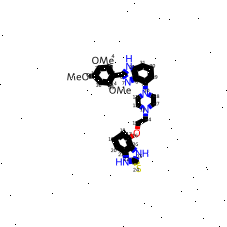 COc1cc(OC)c(-c2nc3c(N4CCN(CCOc5cccc6[nH]c(=S)[nH]c56)CC4)cccc3[nH]2)c(OC)c1